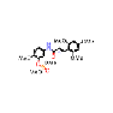 COc1cc(OC)c(/C=C/C(=O)Nc2ccc(OC)c(OP(=O)(OC)OC)c2)c(OC)c1